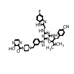 CN(C)C(=O)[C@H](Cc1ccc(C#N)cc1)Nc1nc(NCc2nc3cc(F)ccc3[nH]2)nc(Nc2cccc(CN3CCN(C(=O)c4nccnc4O)CC3)c2)n1